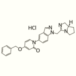 Cl.O=c1cc(OCc2ccccc2)ccn1-c1ccc2c(cnn2CC2=NC[C@@H]3CCCN23)c1